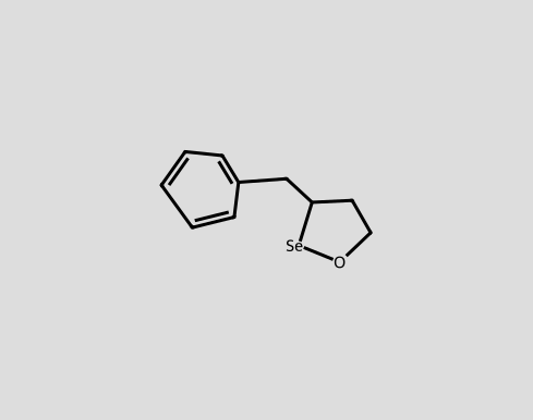 c1ccc(CC2CCO[Se]2)cc1